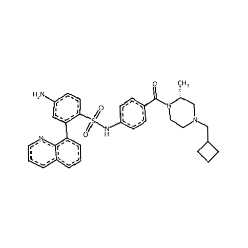 C[C@@H]1CN(CC2CCC2)CCN1C(=O)c1ccc(NS(=O)(=O)c2ccc(N)cc2-c2cccc3cccnc23)cc1